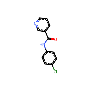 O=C(Nc1ccc(Cl)cc1)c1cc[c]nc1